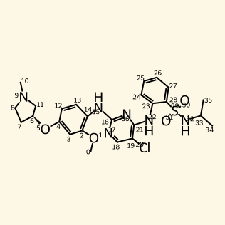 COc1cc(O[C@H]2CCN(C)C2)ccc1Nc1ncc(Cl)c(Nc2ccccc2S(=O)(=O)NC(C)C)n1